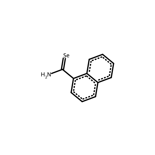 NC(=[Se])c1cccc2ccccc12